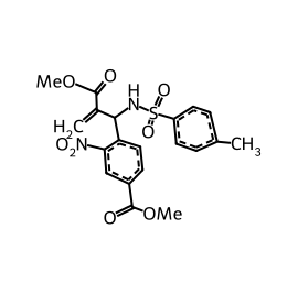 C=C(C(=O)OC)C(NS(=O)(=O)c1ccc(C)cc1)c1ccc(C(=O)OC)cc1[N+](=O)[O-]